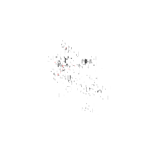 CC[C@H](C)[C@H](NC(=O)[C@H](Cc1ccc(O)cc1)NC(=O)[C@@H](NC(=O)[C@@H]1CCCN1C(=O)[C@H](CCCNC(=N)N)NC(=O)[C@H](CC(N)=O)NC(=O)[C@H](CC(N)=O)NC(=O)CN)C(C)C)C(=O)N1CCC[C@H]1C(=O)N[C@@H](CCC(N)=O)C(=O)N1CCC[C@H]1C(=O)N[C@@H](CCCNC(=N)N)C(=O)N1CCC[C@H]1C(=O)N1CCC[C@H]1C(=O)N[C@@H](Cc1cnc[nH]1)C(=O)N1CCC[C@H]1C(=O)N[C@@H](CCCNC(=N)N)C(=O)N[C@@H](CC(C)C)C(=O)O